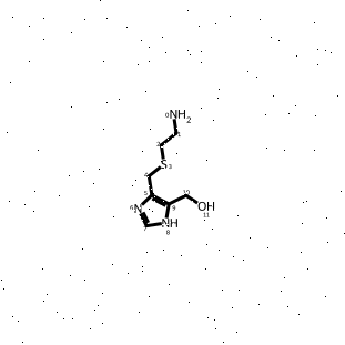 NCCSCc1nc[nH]c1CO